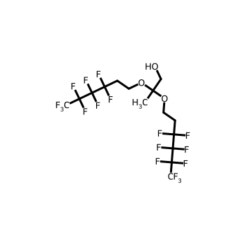 CC(CO)(OCCC(F)(F)C(F)(F)C(F)(F)C(F)(F)F)OCCC(F)(F)C(F)(F)C(F)(F)C(F)(F)F